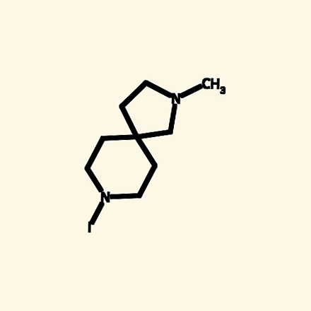 CN1CCC2(CCN(I)CC2)C1